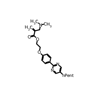 C=C(CN(C)C)C(=O)OCCOc1ccc(-c2ncc(CCCCC)cn2)cc1